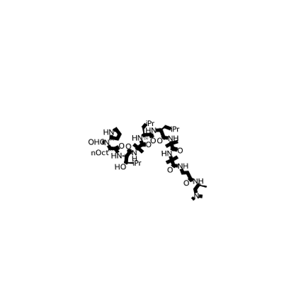 CCCCCCCC[C@@H](C(=O)N[C@H](C(=O)NC(C)(C)C(=O)N[C@@H](CC(C)C)C(=O)N[C@@H](CC(C)C)C(=O)NC(C)(C)C(=O)NC(C)(C)C(=O)NCCC(=O)N[C@@H](C)CN(C)C)[C@H](O)C(C)C)N(C=O)[C@H]1CCCN1